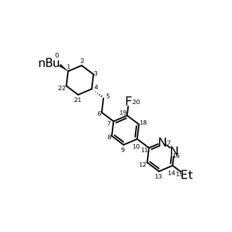 CCCC[C@H]1CC[C@H](CCc2ccc(-c3ccc(CC)nn3)cc2F)CC1